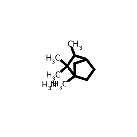 CC1C2CCC(C)(C2)C1(C)C.N